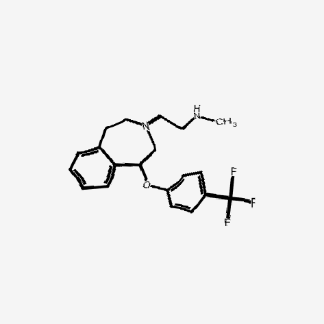 CNCCN1CCc2ccccc2C(Oc2ccc(C(F)(F)F)cc2)C1